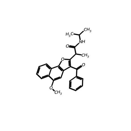 COc1cc2c(C(=O)c3ccccc3)c(C(C)C(=O)NC(C)C)oc2c2ccccc12